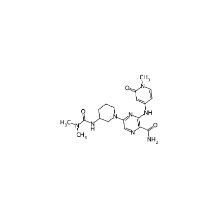 CN(C)C(=O)NC1CCCN(c2cnc(C(N)=O)c(Nc3ccn(C)c(=O)c3)n2)C1